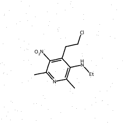 CCNc1c(C)nc(C)c([N+](=O)[O-])c1CCCl